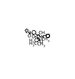 Cc1c(C2CCCN(C(=O)N3CCCC3)C2=O)nn(C(=O)C(C)(C)C)c1N(C)Cc1ccccc1